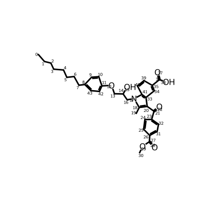 CCCCCCCCc1ccc(OCC(O)Cn2c(C)c(C(=O)c3ccc(C(=O)OC)cc3)c3cc(C(=O)O)ccc32)cc1